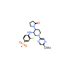 COc1cnc(N2CCC(N3CCCC3=O)[C@H](Nc3ccc(S(C)(=O)=O)cc3F)C2)cn1